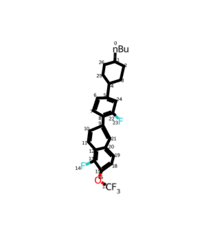 CCCCC1CCC(c2ccc(-c3ccc4c(F)c(OC(F)(F)F)ccc4c3)c(F)c2)CC1